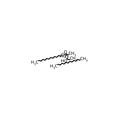 CCC(=O)O.CCC(=O)O.CCCCCCCCCCCCCC.CCCCCCCCCCCCCC